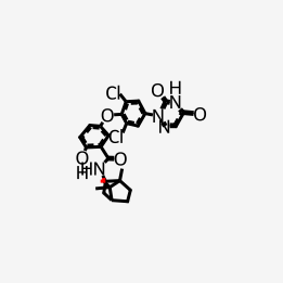 CC1(C)C2CCC1(C)C(NC(=O)c1cc(Oc3c(Cl)cc(-n4ncc(=O)[nH]c4=O)cc3Cl)ccc1O)C2